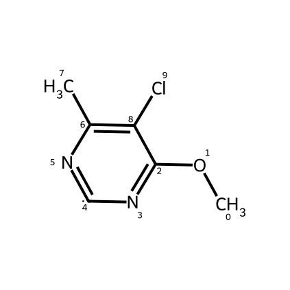 COc1n[c]nc(C)c1Cl